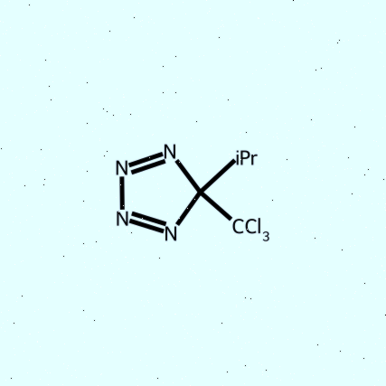 CC(C)C1(C(Cl)(Cl)Cl)N=NN=N1